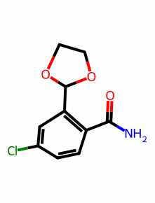 NC(=O)c1ccc(Cl)cc1C1OCCO1